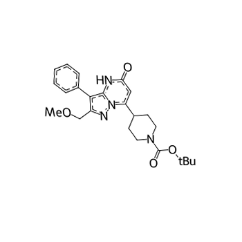 COCc1nn2c(C3CCN(C(=O)OC(C)(C)C)CC3)cc(=O)[nH]c2c1-c1ccccc1